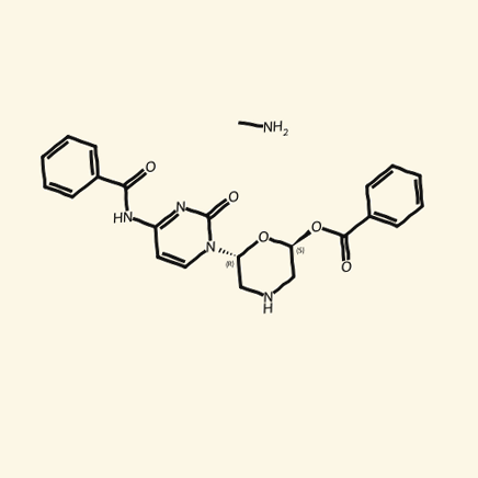 CN.O=C(Nc1ccn([C@H]2CNC[C@H](OC(=O)c3ccccc3)O2)c(=O)n1)c1ccccc1